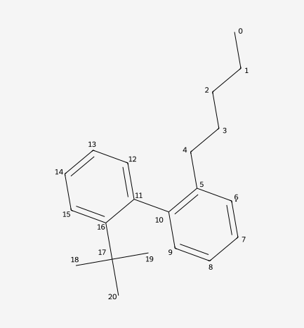 CCCCCc1[c]cccc1-c1ccccc1C(C)(C)C